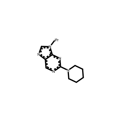 CC(C)n1cnc2cnc(N3CCCCC3)nc21